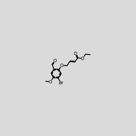 CCOC(=O)C=CCOc1cc(Br)c(OC)cc1C=O